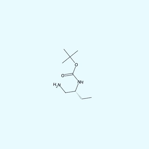 CC[C@H](CN)NC(=O)OC(C)(C)C